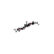 C=CC(=O)OCCCCOc1ccc(C#Cc2ccc(NC(=O)c3ccc(OCCCCOC(=O)C=C)cc3)cc2C)cc1